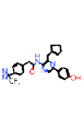 O=C(Cc1ccc(C2(C(F)(F)F)N=N2)cc1)Nc1ncc(-c2ccc(O)cc2)nc1Cc1ccccc1